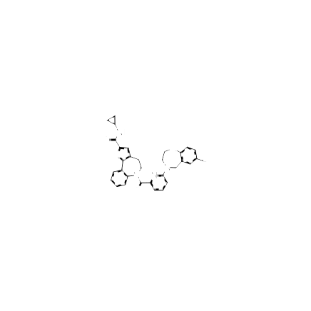 O=C(NC1CC1)c1cc2c(s1)-c1ccccc1N(C(=O)c1cccc(N3CCOc4ccc(F)cc4C3)n1)CC2